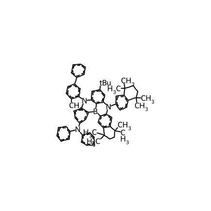 Cc1ccc(-c2ccccc2)cc1N1c2ccc(N(c3ccccc3)c3ccccc3)cc2B2c3cc4c(cc3N(c3ccc5c(c3)C(C)(C)CCC5(C)C)c3cc(C(C)(C)C)cc1c32)C(C)(C)CCC4(C)C